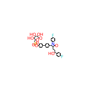 COC1OC(CS(=O)(=O)Oc2ccc(-c3ccc(C4C(CCC(O)c5ccc(F)cc5)C(=O)N4c4ccc(F)cc4)cc3)cc2)C(O)C(O)C1O